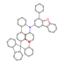 c1ccc(-c2cc(N(c3ccccc3)c3ccccc3-c3ccc4c(c3)Oc3ccccc3C43c4ccccc4-c4ccccc43)cc3c2oc2ccccc23)cc1